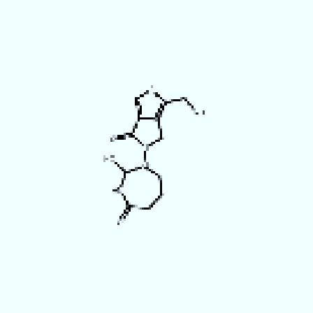 NCc1scc2c1CN([C@H]1CCCC(=O)NC1O)C2=O